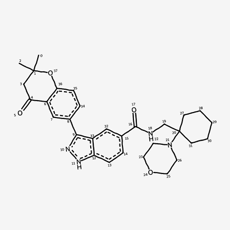 CC1(C)CC(=O)c2cc(-c3n[nH]c4ccc(C(=O)NCC5(N6CCOCC6)CCCCC5)cc34)ccc2O1